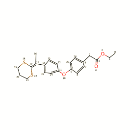 CCOC(=O)Cc1ccc(Oc2ccc(C(C)=C3SCCCS3)cc2)cc1